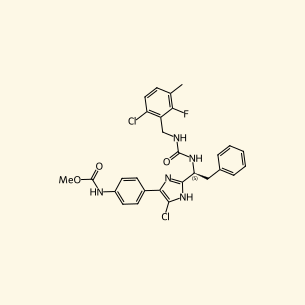 COC(=O)Nc1ccc(-c2nc([C@H](Cc3ccccc3)NC(=O)NCc3c(Cl)ccc(C)c3F)[nH]c2Cl)cc1